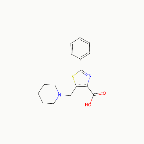 O=C(O)c1nc(-c2ccccc2)sc1CN1CCCCC1